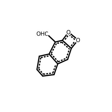 O=Cc1c2ccccc2cc2ooc12